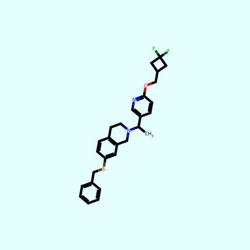 CC(c1ccc(OCC2CC(F)(F)C2)nc1)N1CCc2ccc(SCc3ccccc3)cc2C1